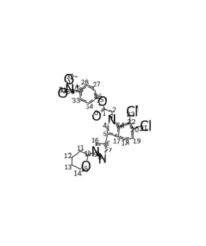 O=C(Cn1cc(-c2cnn(C3CCCCO3)c2)c2ccc(Cl)c(Cl)c21)Oc1ccc([N+](=O)[O-])cc1